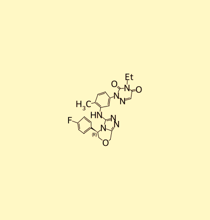 CCn1c(=O)cnn(-c2ccc(C)c(Nc3nnc4n3[C@H](c3ccc(F)cc3)COC4)c2)c1=O